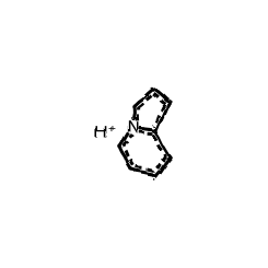 [H+].[c]1ccn2cccc2c1